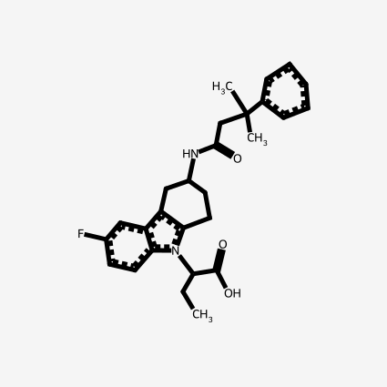 CCC(C(=O)O)n1c2c(c3cc(F)ccc31)CC(NC(=O)CC(C)(C)c1ccccc1)CC2